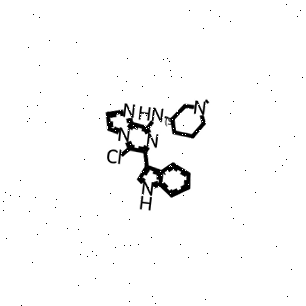 CN1CCC[C@H](Nc2nc(-c3c[nH]c4ccccc34)c(Cl)n3ccnc23)C1